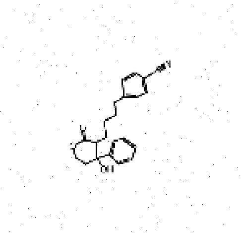 N#Cc1ccc(CCCCC2C(=O)OCCC2(O)c2ccccc2)cc1